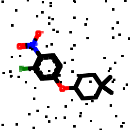 CC1(C)CCC(Oc2ccc([N+](=O)[O-])c(F)c2)CC1